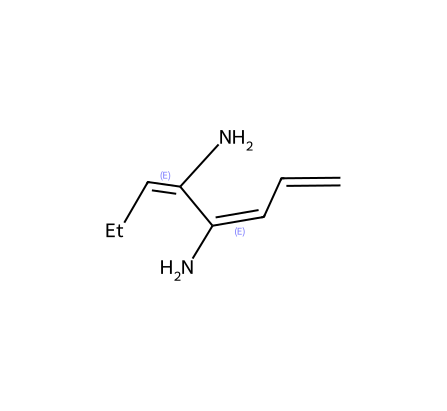 C=C/C=C(N)\C(N)=C/CC